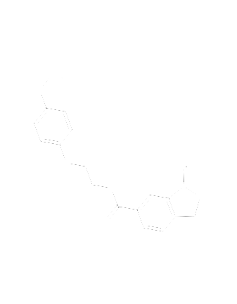 COc1ccc(OCCOC(=O)c2ccc3c(c2)B(O)OC3)cc1